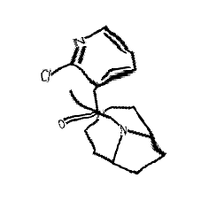 CN1CC2CCC(C1)N2C(=O)c1cccnc1Cl